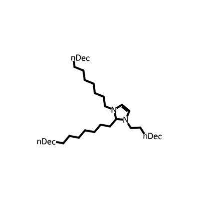 CCCCCCCCCCCCCCCCCC1N(CCCCCCCCCCCC)C=CN1CCCCCCCCCCCCCCCCC